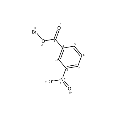 O=C(OBr)c1cccc([N+](=O)[O-])c1